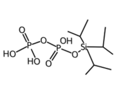 CC(C)[Si](OP(=O)(O)OP(=O)(O)O)(C(C)C)C(C)C